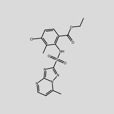 CCOC(=O)c1ccc(Cl)c(C)c1NS(=O)(=O)c1nc2nccc(C)n2n1